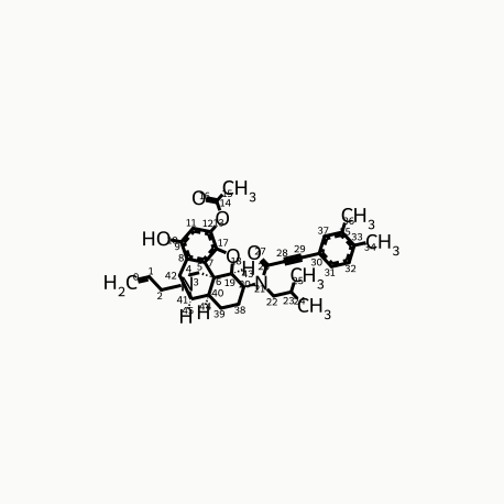 C=CCN1CC[C@]23c4c5c(O)cc(OC(C)=O)c4O[C@H]2[C@@H](N(CC(C)C)C(=O)C#Cc2ccc(C)c(C)c2)CC[C@H]3[C@H]1C5